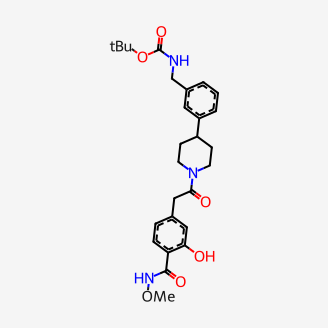 CONC(=O)c1ccc(CC(=O)N2CCC(c3cccc(CNC(=O)OC(C)(C)C)c3)CC2)cc1O